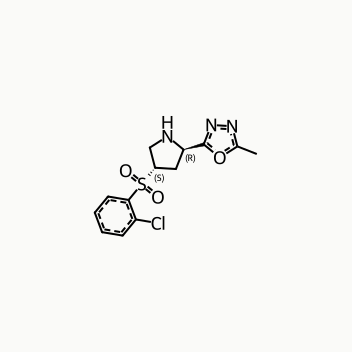 Cc1nnc([C@H]2C[C@H](S(=O)(=O)c3ccccc3Cl)CN2)o1